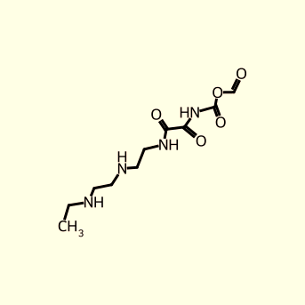 CCNCCNCCNC(=O)C(=O)NC(=O)OC=O